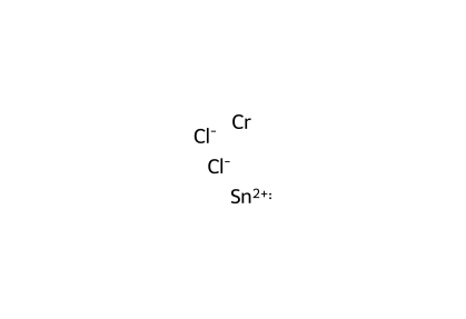 [Cl-].[Cl-].[Cr].[Sn+2]